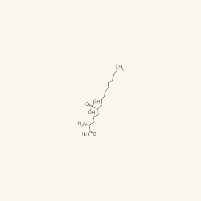 CCCCCCCCCCC(CCCC(N)C(=O)O)P(=O)(O)O